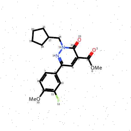 COC(=O)c1cc(-c2ccc(OC)c(F)c2)nn(CC2CCCC2)c1=O